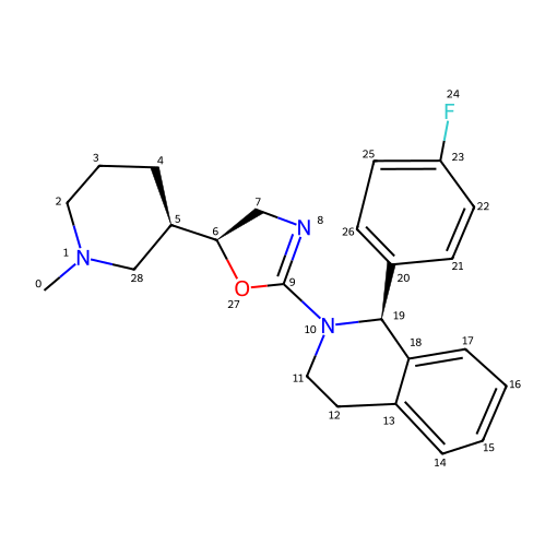 CN1CCC[C@@H]([C@H]2CN=C(N3CCc4ccccc4[C@@H]3c3ccc(F)cc3)O2)C1